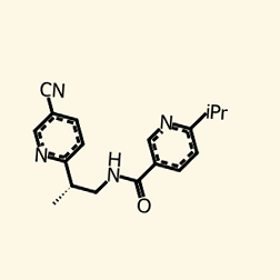 CC(C)c1ccc(C(=O)NC[C@H](C)c2ccc(C#N)cn2)cn1